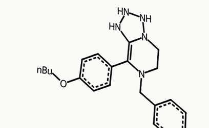 CCCCOc1ccc(C2=C3NNNN3CCN2Cc2ccccc2)cc1